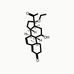 CCO[C@]1(C(C)=O)CC[C@H]2[C@@H]3C=CC4=CC(=O)CC[C@]4(C)[C@H]3C(O)C[C@@]21C